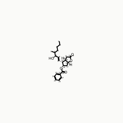 CCCCC(C)[C@H](O)C=C[C@@H]1[C@H]2CC(=O)O[C@H]2C[C@H]1OC(=O)c1ccccc1